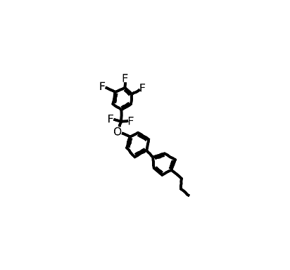 CCCc1ccc(-c2ccc(OC(F)(F)c3cc(F)c(F)c(F)c3)cc2)cc1